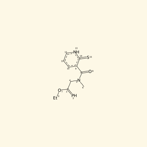 CCOC(=P)CN(C)C(=O)c1ccc[nH]c1=S